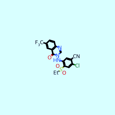 CCS(=O)(=O)c1cc(Cl)c(C#N)cc1Nn1cnc2ccc(C(F)(F)F)cc2c1=O